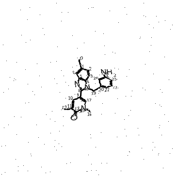 Cc1ccc2c(c1)nc(-c1cc(C)c(=O)n(C)c1)n2Cc1cccc(N)c1